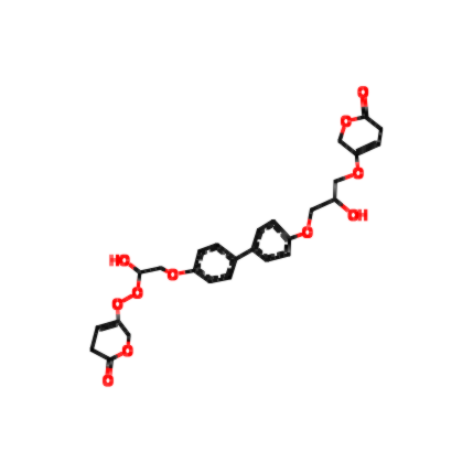 O=C1CC=C(OCC(O)COc2ccc(-c3ccc(OCC(O)OOC4=CCC(=O)OC4)cc3)cc2)CO1